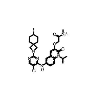 CNC(=O)COc1cc2cc(Nc3nc(N4CC5(CCC(I)CC5)C4)ncc3Cl)ccc2n(C(C)C)c1=O